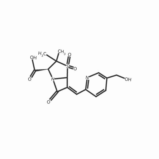 CC1(C)[C@H](C(=O)O)N2C(=O)/C(=C/c3ccc(CO)cn3)C2S1(=O)=O